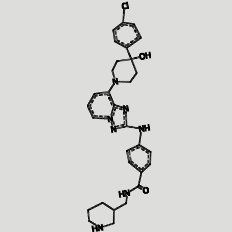 O=C(NCC1CCCNC1)c1ccc(Nc2nc3c(N4CCC(O)(c5ccc(Cl)cc5)CC4)cccn3n2)cc1